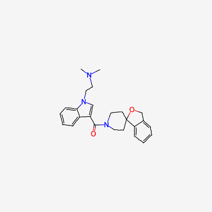 CN(C)CCn1cc(C(=O)N2CCC3(CC2)OCc2ccccc23)c2ccccc21